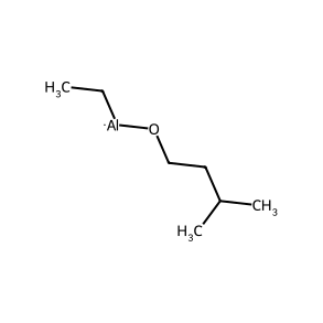 C[CH2][Al][O]CCC(C)C